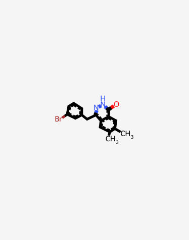 Cc1cc2c(Cc3cccc(Br)c3)n[nH]c(=O)c2cc1C